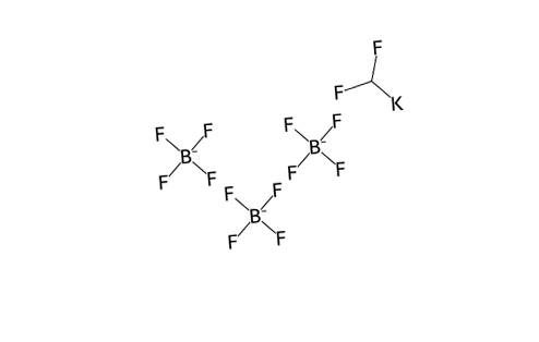 F[B-](F)(F)F.F[B-](F)(F)F.F[B-](F)(F)F.F[CH](F)[K]